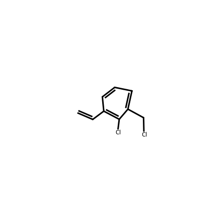 C=Cc1cccc(CCl)c1Cl